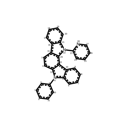 c1ccc(-n2c3ccccc3c3c2ccc2c4ccccc4n(-c4ccccn4)c23)cc1